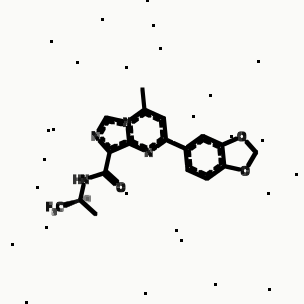 Cc1cc(-c2ccc3c(c2)OCO3)nc2c(C(=O)N[C@@H](C)C(F)(F)F)ncn12